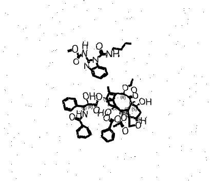 CC(=O)O[C@H]1C(=O)[C@@]2(C)[C@H]([C@H](OC(=O)c3ccccc3)[C@]3(O)C[C@H](OC(=O)[C@H](O)[C@@H](NC(=O)c4ccccc4)c4ccccc4)C(C)=C1C3(C)C)[C@]1(OC(C)=O)CO[C@@H]1C[C@@H]2O.CCCCNC(=O)n1c(NC(=O)OC)nc2ccccc21